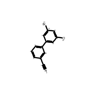 N#Cc1cccc(-c2cc(Cl)cc(Br)c2)c1